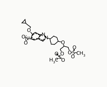 CS(=O)(=O)OCC(COS(C)(=O)=O)OC1CCC(n2cc3cc([N+](=O)[O-])c(OCC4CC4)cc3n2)CC1